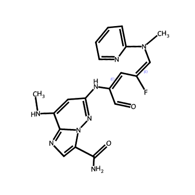 CNc1cc(N/C(C=O)=C/C(F)=C\N(C)c2ccccn2)nn2c(C(N)=O)cnc12